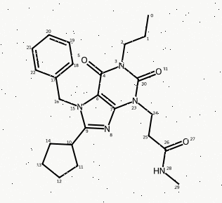 CCCn1c(=O)c2c(nc(C3CCCC3)n2Cc2ccccc2)n(CCC(=O)NC)c1=O